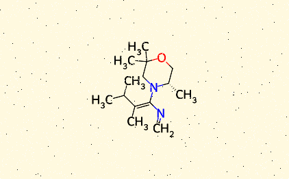 C=N/C(=C(\C)C(C)C)N1CC(C)(C)OC[C@@H]1C